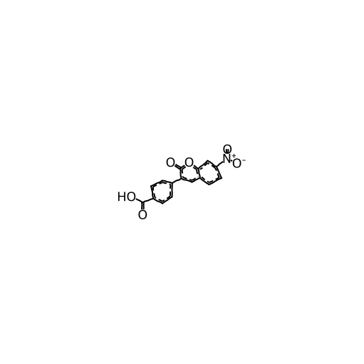 O=C(O)c1ccc(-c2cc3ccc([N+](=O)[O-])cc3oc2=O)cc1